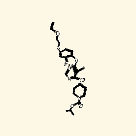 CCOCCOc1ccc(Oc2ncnc(OC3CCN(C(=O)OC(C)C)CC3)c2C)c(F)c1